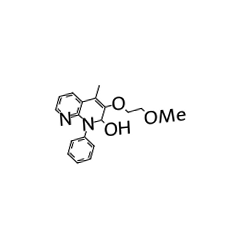 COCCOC1=C(C)c2cccnc2N(c2ccccc2)C1O